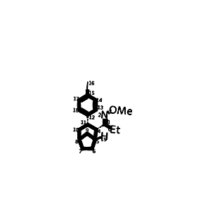 CCC(=NOC)[C@@H]1[C@@H]2CCC(C2)C[C@@H]1c1ccc(I)cc1